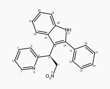 O=[N+]([O-])C[C@@H](c1ccccn1)c1c(-c2ccccc2)[nH]c2ccccc12